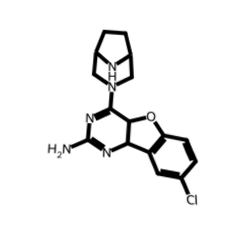 NC1=NC2c3cc(Cl)ccc3OC2C(N2CC3CCC(C2)N3)=N1